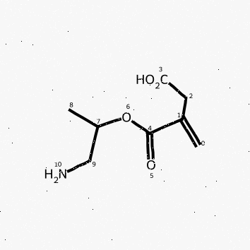 C=C(CC(=O)O)C(=O)OC(C)CN